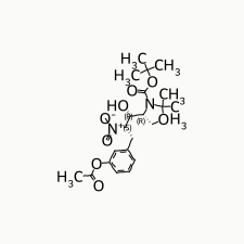 CC(=O)Oc1cccc(C[C@@H]([C@H](O)[C@H]2COC(C)(C)N2C(=O)OC(C)(C)C)[N+](=O)[O-])c1